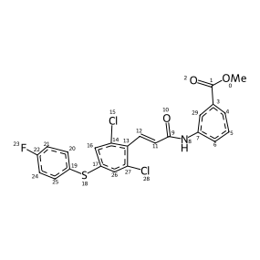 COC(=O)c1cccc(NC(=O)/C=C/c2c(Cl)cc(Sc3ccc(F)cc3)cc2Cl)c1